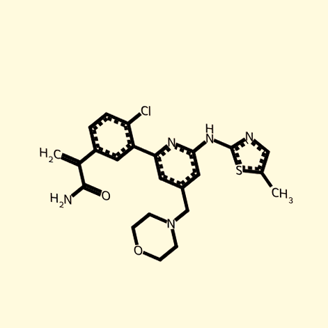 C=C(C(N)=O)c1ccc(Cl)c(-c2cc(CN3CCOCC3)cc(Nc3ncc(C)s3)n2)c1